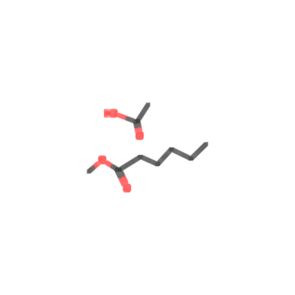 CC(=O)O.CCCCCC(=O)OC